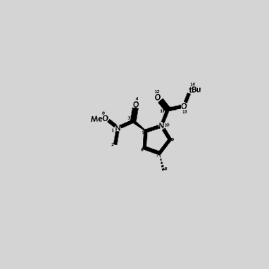 CON(C)C(=O)[C@@H]1C[C@@H](C)CN1C(=O)OC(C)(C)C